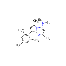 CCN(CC)c1cc(C)nc2c(-c3c(C)cc(C)cc3C)cc(C)n12